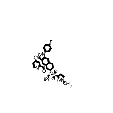 CC(C)CN([C@H]1CCC2=Cc3c(cnn3-c3ccc(F)cc3)C[C@]2(C(=O)c2cc(Cl)ccn2)C1)S(=O)(=O)c1ccn(C)n1